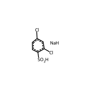 O=S(=O)(O)c1ccc(Cl)cc1Cl.[NaH]